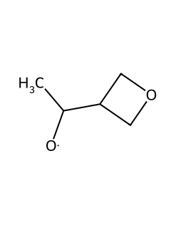 CC([O])C1COC1